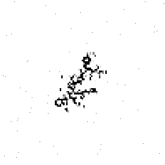 CCCC(=O)OCN(C(=O)[C@@H](NC(=O)[C@H]1CCCCN1C)C(C)CC)[C@H](C[C@@H](OC(C)=O)c1nc(C(=O)N[C@@H](Cc2ccc(C)cc2)C[C@H](C)C(=O)NN)cs1)C(C)C